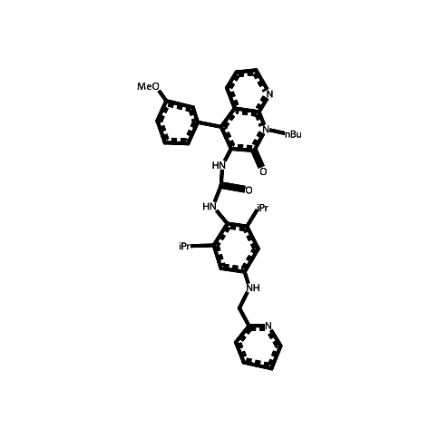 CCCCn1c(=O)c(NC(=O)Nc2c(C(C)C)cc(NCc3ccccn3)cc2C(C)C)c(-c2cccc(OC)c2)c2cccnc21